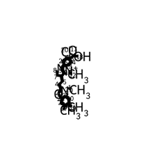 CCN1C(=CC=C2CCn3c2[n+](C)c2cc(C(=O)O)c(Cl)cc23)Oc2cc(C)c(C)cc21